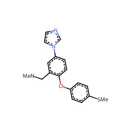 CNCc1cc(-n2ccnc2)ccc1Oc1ccc(SC)cc1